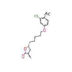 C=C1CC(CCCCCOc2ccc(C(C)=O)c(Cl)c2)OC1=O